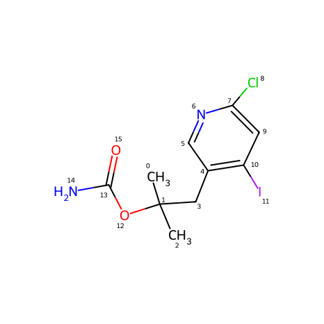 CC(C)(Cc1cnc(Cl)cc1I)OC(N)=O